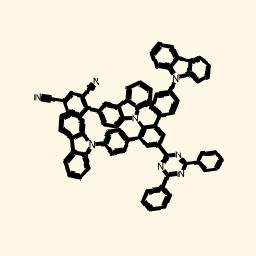 N#Cc1ccc(-c2ccc3c(c2)c2ccccc2n3-c2c(-c3ccc(-n4c5ccccc5c5ccccc54)cc3)cc(-c3nc(-c4ccccc4)nc(-c4ccccc4)n3)cc2-c2ccc(-n3c4ccccc4c4ccccc43)cc2)c(C#N)c1